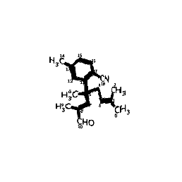 CC(C)=CCC(C)(/C=C(\C)C=O)c1cc(C)ccc1C#N